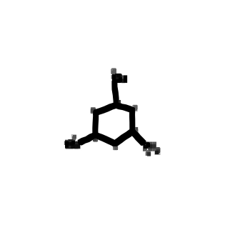 CC(C)(C)C1CC(P)CC(C(C)(C)C)C1